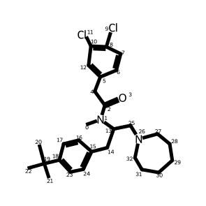 CN(C(=O)Cc1ccc(Cl)c(Cl)c1)C(Cc1ccc(C(C)(C)C)cc1)CN1CCCCCC1